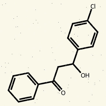 O=C(CC(O)c1ccc(Cl)cc1)c1ccccc1